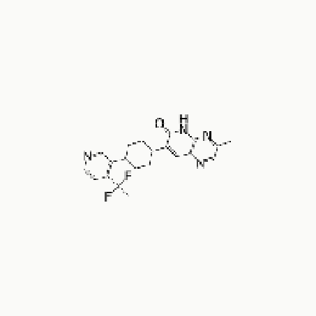 Cc1cnc2cc(C3CCC(c4cnccc4C(C)(F)F)CC3)c(=O)[nH]c2n1